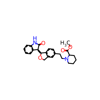 COC(=O)C1CCCCN1CCc1ccc2c(c1)COC2=C1C(=O)Nc2ccccc21